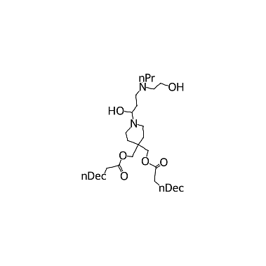 CCCCCCCCCCCC(=O)OCC1(COC(=O)CCCCCCCCCCC)CCN(C(O)CCN(CCC)CCO)CC1